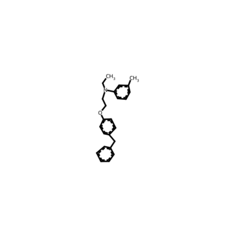 CCN(CCOc1ccc(Cc2ccccc2)cc1)c1cccc(C)c1